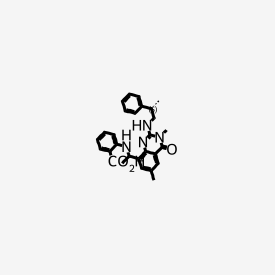 Cc1cc(C(C)Nc2ccccc2C(=O)O)c2nc(NC[C@@H](C)c3ccccc3)n(C)c(=O)c2c1